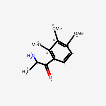 COc1ccc(C(=O)C(C)N)c(OC)c1OC